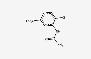 NC(=O)Nc1cc(C(=O)O)ccc1Cl